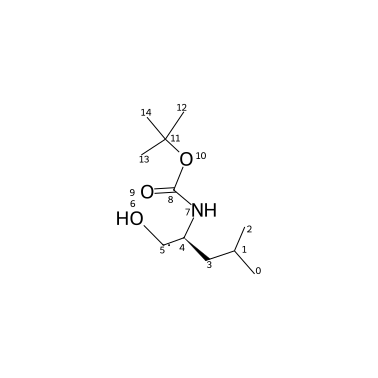 CC(C)C[C@@H]([CH]O)NC(=O)OC(C)(C)C